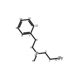 CC(C)CCP(C)CCc1ccccc1